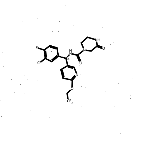 O=C1CN(C(=O)N[C@@H](c2ccc(OCC(F)(F)F)nc2)c2ccc(F)c(Cl)c2)CCN1